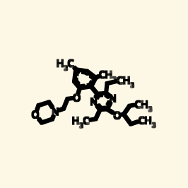 CCc1nc(-c2c(C)cc(C)cc2OCCN2CCOCC2)c(CC)nc1OC(CC)CC